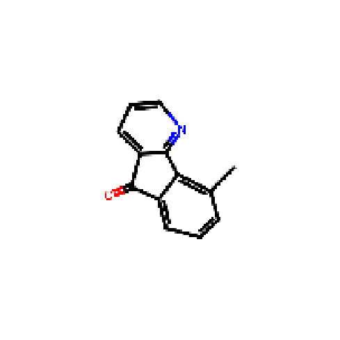 Cc1cccc2c1-c1ncccc1C2=O